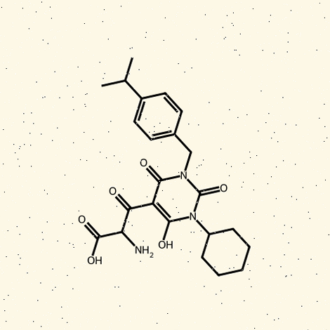 CC(C)c1ccc(Cn2c(=O)c(C(=O)C(N)C(=O)O)c(O)n(C3CCCCC3)c2=O)cc1